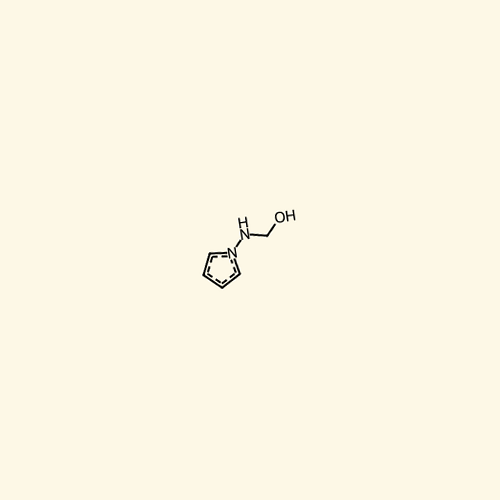 OCNn1cccc1